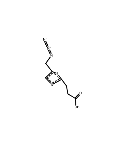 [N-]=[N+]=NCc1cnc(CCC(=O)O)s1